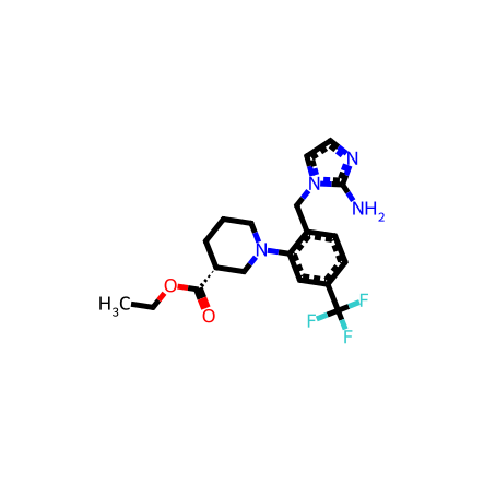 CCOC(=O)[C@@H]1CCCN(c2cc(C(F)(F)F)ccc2Cn2ccnc2N)C1